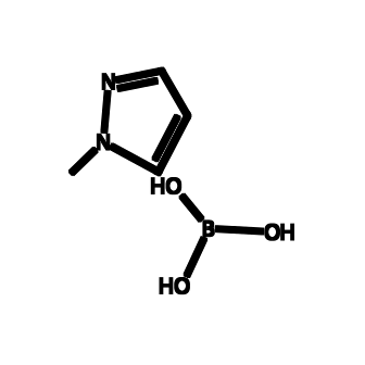 Cn1cccn1.OB(O)O